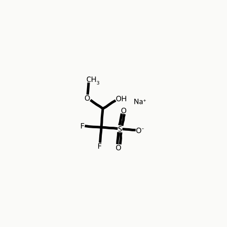 COC(O)C(F)(F)S(=O)(=O)[O-].[Na+]